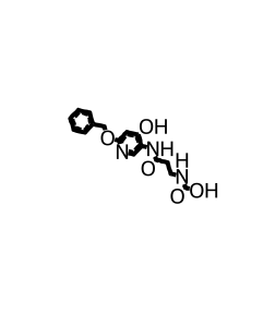 O=C(O)NCCC(=O)Nc1cnc(OCc2ccccc2)cc1O